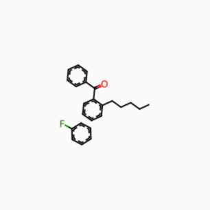 CCCCCc1ccccc1C(=O)c1ccccc1.Fc1ccccc1